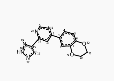 c1nc(-c2ccc3c(c2)OCCO3)cc(-c2nn[nH]n2)n1